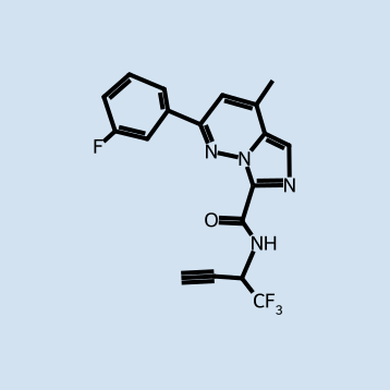 C#CC(NC(=O)c1ncc2c(C)cc(-c3cccc(F)c3)nn12)C(F)(F)F